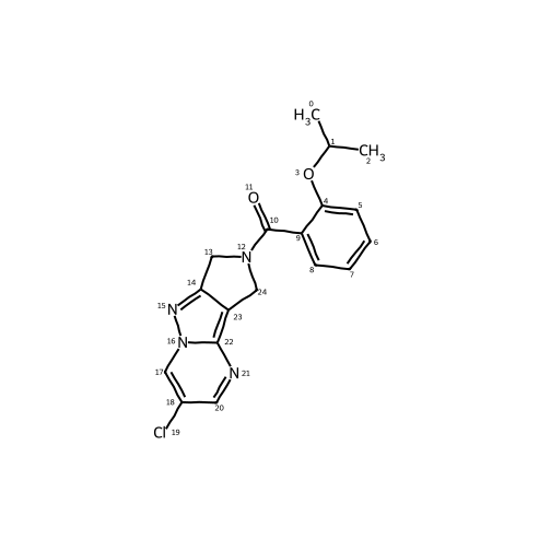 CC(C)Oc1ccccc1C(=O)N1Cc2nn3cc(Cl)cnc3c2C1